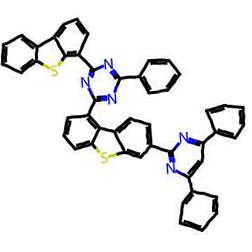 c1ccc(-c2cc(-c3ccccc3)nc(-c3ccc4c(c3)sc3cccc(-c5nc(-c6ccccc6)nc(-c6cccc7c6sc6ccccc67)n5)c34)n2)cc1